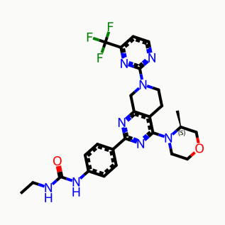 CCNC(=O)Nc1ccc(-c2nc3c(c(N4CCOC[C@@H]4C)n2)CCN(c2nccc(C(F)(F)F)n2)C3)cc1